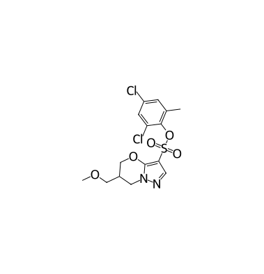 COCC1COc2c(S(=O)(=O)Oc3c(C)cc(Cl)cc3Cl)cnn2C1